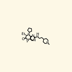 CC[C@@H]1C(=O)N(C)c2cnc(NCCC3CCN(C)CC3)nc2N1C1CCCC1